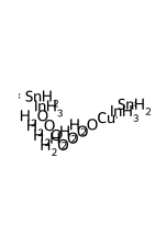 O.O.O.O.O.O.O.[Cu].[InH3].[InH3].[SnH2].[SnH2]